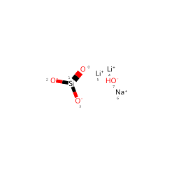 O=[Si]([O-])[O-].[Li+].[Li+].[Na+].[OH-]